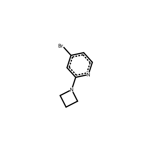 Brc1ccnc(N2CCC2)c1